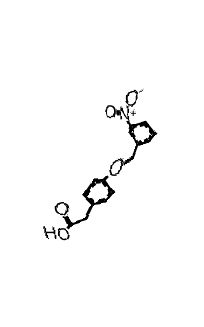 O=C(O)Cc1ccc(OCc2cccc([N+](=O)[O-])c2)cc1